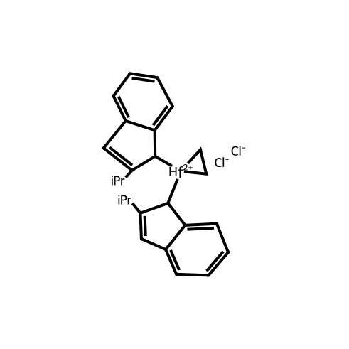 CC(C)C1=Cc2ccccc2[CH]1[Hf+2]1([CH]2C(C(C)C)=Cc3ccccc32)[CH2][CH2]1.[Cl-].[Cl-]